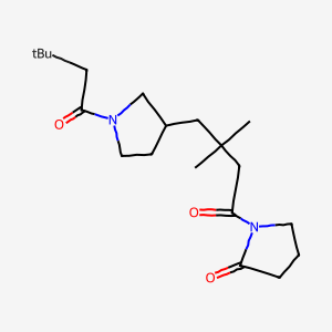 CC(C)(C)CC(=O)N1CCC(CC(C)(C)CC(=O)N2CCCC2=O)C1